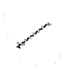 CNCCOCCOCCOCCOCCOCCNC(=O)C(C)C